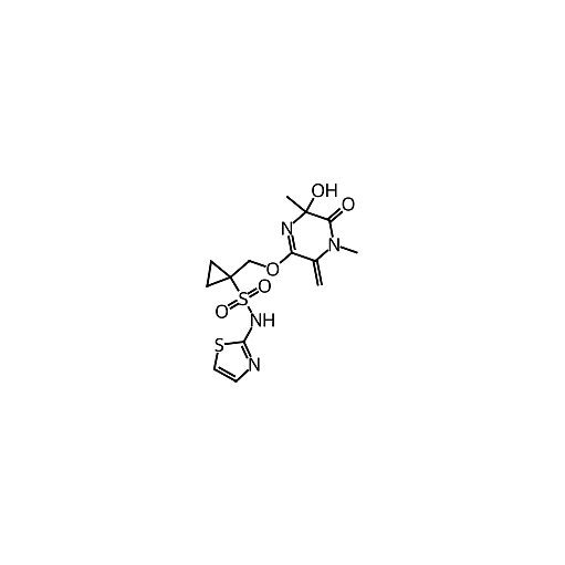 C=C1C(OCC2(S(=O)(=O)Nc3nccs3)CC2)=NC(C)(O)C(=O)N1C